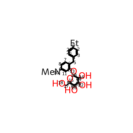 CCc1ccc(Cc2ccc(NC)cc2O[C@@H]2O[C@H](CO)[C@@H](O)[C@H](O)[C@H]2O)cc1